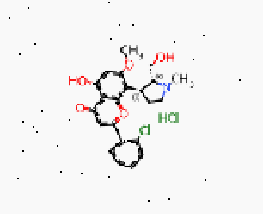 COc1cc(O)c2c(=O)cc(-c3ccccc3Cl)oc2c1[C@@H]1CCN(C)[C@H]1CO.Cl